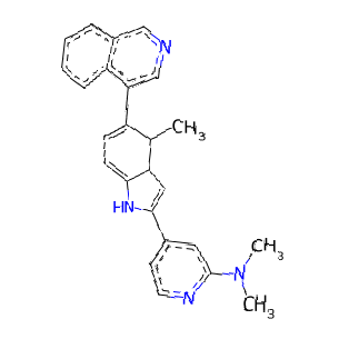 CC1C(c2cncc3ccccc23)=CC=C2NC(c3ccnc(N(C)C)c3)=CC21